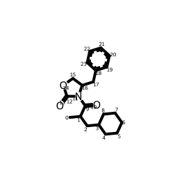 CC(CC1CCCCC1)C(=O)N1C(=O)OCC1Cc1ccccc1